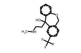 CNCCC1(O)c2cc(C(F)(F)F)ccc2COc2ccccc21